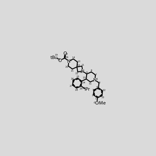 COc1ccc(CN2CCC(N3CC4(CCN(C(=O)OC(C)(C)C)CC4)C3)C(c3ccccc3C(C)C)C2)cc1